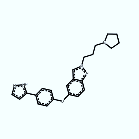 c1cc(-c2ccc(Oc3ccc4nn(CCCN5CCCC5)cc4c3)cc2)[nH]n1